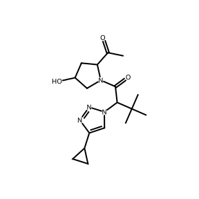 CC(=O)C1CC(O)CN1C(=O)C(n1cc(C2CC2)nn1)C(C)(C)C